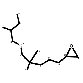 CCC(C)COCC(C)(C)CCCC1CO1